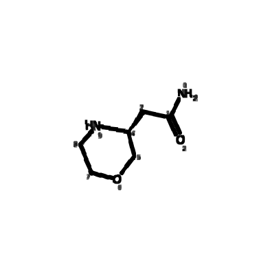 NC(=O)C[C@H]1COCCN1